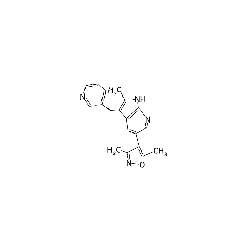 Cc1noc(C)c1-c1cnc2[nH]c(C)c(Cc3cccnc3)c2c1